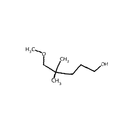 COCC(C)(C)CCCO